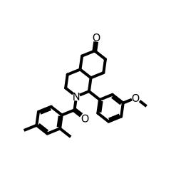 COc1cccc(C2C3CCC(=O)CC3CCN2C(=O)c2ccc(C)cc2C)c1